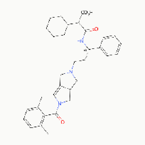 Cc1cccc(C)c1C(=O)N1C=C2CN(CC[C@H](NC(=O)C(C(=O)O)C3CCCCC3)c3ccccc3)CC2C1